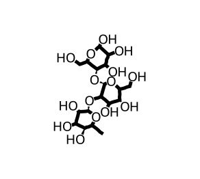 CC1O[C@@H](OC2C(O)[C@@H](O)C(CO)O[C@H]2O[C@@H]2C(CO)OC(O)C(O)C2O)C(O)C(O)[C@@H]1O